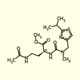 COC(=O)[C@H](CCNC(C)=O)NC(=O)N(C)Cc1csc(C(C)C)n1